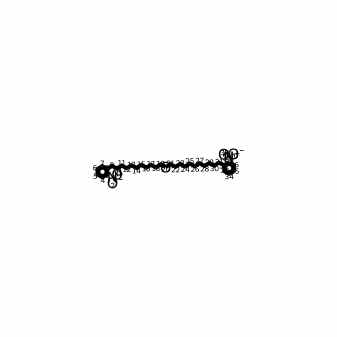 O=[N+]([O-])c1ccccc1CCCCCCCCCCCOCCCCCCCCCCCc1ccccc1[N+](=O)[O-]